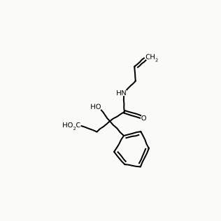 C=CCNC(=O)C(O)(CC(=O)O)c1ccccc1